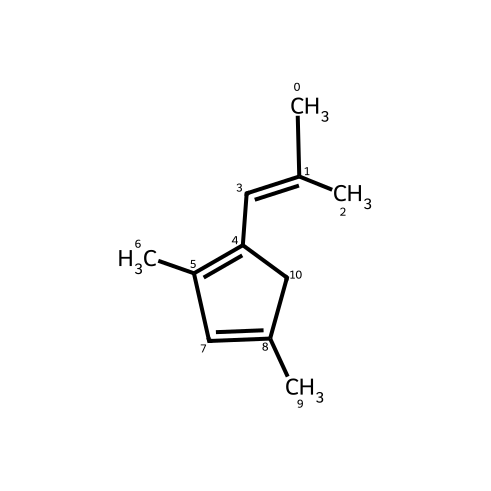 CC(C)=CC1=C(C)C=C(C)C1